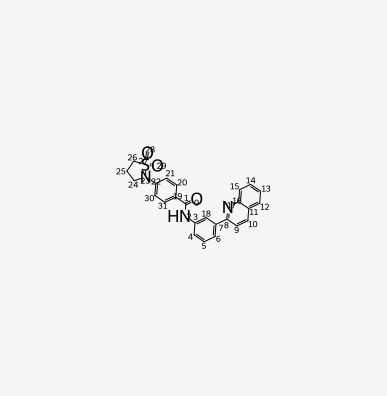 O=C(Nc1cccc(-c2ccc3ccccc3n2)c1)c1ccc(N2CCCS2(=O)=O)cc1